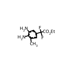 CCOC(=O)C(F)(F)c1cc(C)c(N)c(N)c1